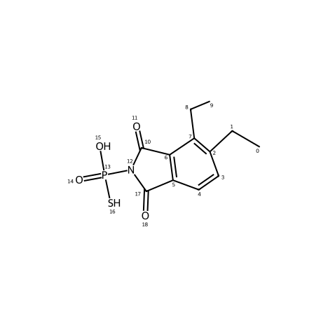 CCc1ccc2c(c1CC)C(=O)N(P(=O)(O)S)C2=O